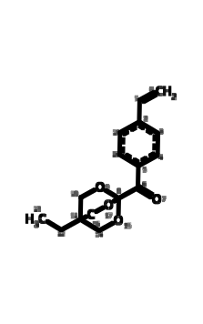 C=Cc1ccc(C(=O)C23OCC(CC)(CO2)CO3)cc1